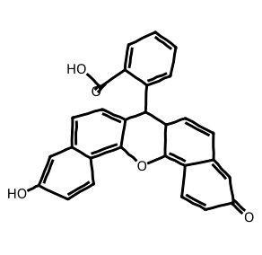 O=C1C=CC2=C3Oc4c(ccc5cc(O)ccc45)C(c4ccccc4C(=O)O)C3C=CC2=C1